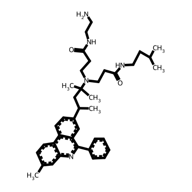 Cc1ccc2c(c1)nc(-c1ccccc1)c1cc(C(C)CC(C)(C)N(CCC(=O)NCCN)CCC(=O)NCCC(C)C)ccc12